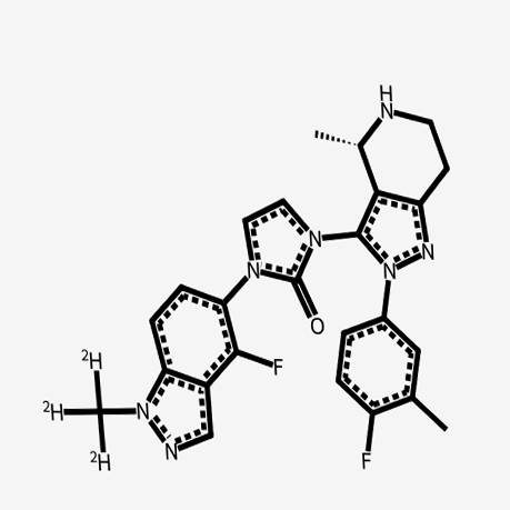 [2H]C([2H])([2H])n1ncc2c(F)c(-n3ccn(-c4c5c(nn4-c4ccc(F)c(C)c4)CCN[C@H]5C)c3=O)ccc21